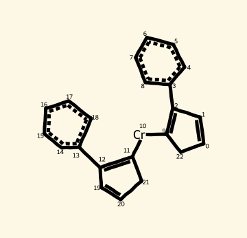 C1=CC(c2ccccc2)=[C]([Cr][C]2=C(c3ccccc3)C=CC2)C1